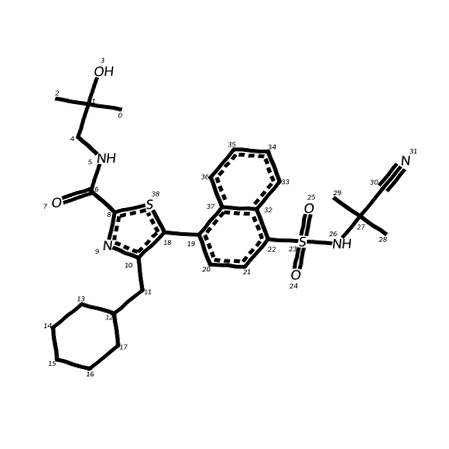 CC(C)(O)CNC(=O)c1nc(CC2CCCCC2)c(-c2ccc(S(=O)(=O)NC(C)(C)C#N)c3ccccc23)s1